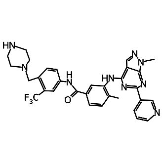 Cc1ccc(C(=O)Nc2ccc(CN3CCNCC3)c(C(F)(F)F)c2)cc1Nc1nc(-c2cccnc2)nc2c1cnn2C